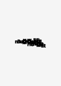 CCCC[C@H]1CC[C@H](C2CCC(CC(O)c3cc4ccc(OCC)c(F)c4c(F)c3F)CC2)CC1